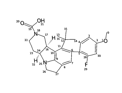 COc1ccc(-c2cc3c4c(c2C(C)(C)C)[C@@H]2CN(C(=O)O)CC[C@@H]2N4CC3)c(F)c1